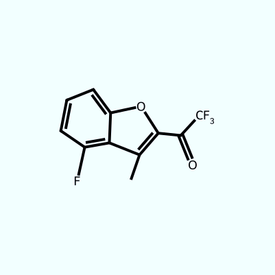 Cc1c(C(=O)C(F)(F)F)oc2cccc(F)c12